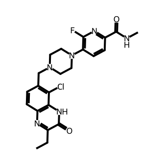 CCc1nc2ccc(CN3CCN(c4ccc(C(=O)NC)nc4F)CC3)c(Cl)c2[nH]c1=O